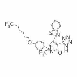 O=C1N[C@@](c2ccc(OCCCCCC(F)(F)F)cc2)(C(F)(F)F)CC(c2nc3ccccc3s2)=C1c1nnn[nH]1